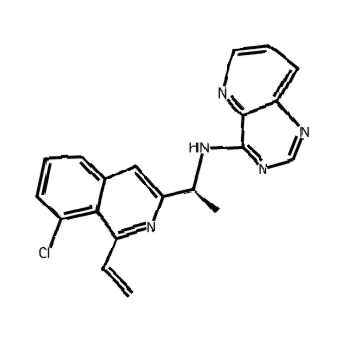 C=Cc1nc([C@H](C)Nc2ncnc3cccnc23)cc2cccc(Cl)c12